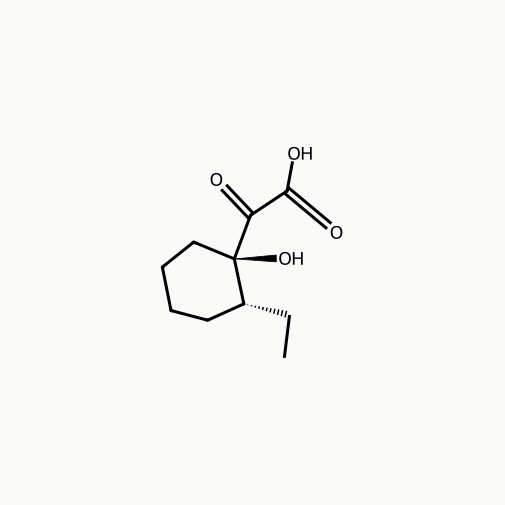 CC[C@@H]1CCCC[C@]1(O)C(=O)C(=O)O